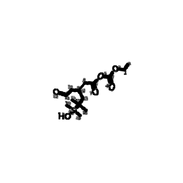 CCOC(=O)OC(=O)C[C@H](CC=O)CC(C)(C)[Si](C)(C)O